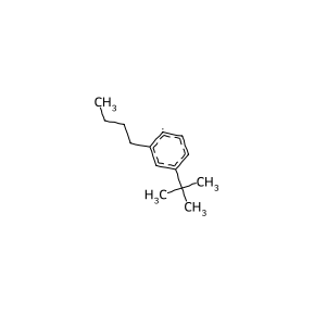 CCCCc1[c]ccc(C(C)(C)C)c1